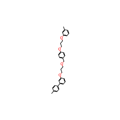 Cc1ccc(-c2cccc(OCCCOCc3ccc(OCCCOc4cccc(C)c4)cc3)c2)cc1